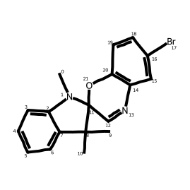 CN1c2ccccc2C(C)(C)C12C=Nc1cc(Br)ccc1O2